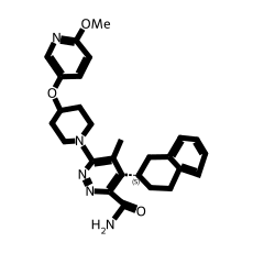 COc1ccc(OC2CCN(c3nnc(C(N)=O)c([C@H]4CCc5ccccc5C4)c3C)CC2)cn1